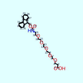 O=C(O)CCOCCOCCOCCOCCOCCNC(=O)OCC1c2ccccc2-c2ccccc21